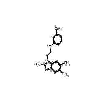 COc1cccc(OCCn2c(C)nc3cc(C)c(C)cc32)c1